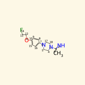 CC(=N)N1CCN(c2ccc(OCCF)cc2)CC1